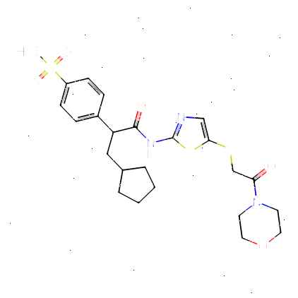 CS(=O)(=O)c1ccc(C(CC2CCCC2)C(=O)Nc2ncc(SCC(=O)N3CCOCC3)s2)cc1